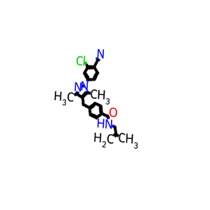 C=C(C)CNC(=O)c1ccc(Cc2c(C)nn(-c3ccc(C#N)c(Cl)c3)c2C)cc1